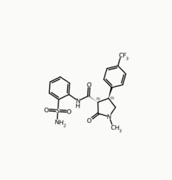 CN1C[C@H](c2ccc(C(F)(F)F)cc2)[C@@H](C(=O)Nc2ccccc2S(N)(=O)=O)C1=O